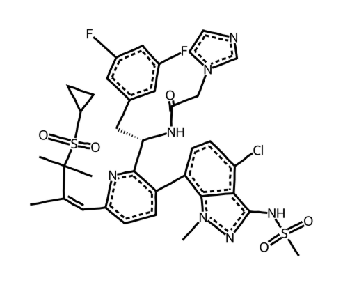 CC(=Cc1ccc(-c2ccc(Cl)c3c(NS(C)(=O)=O)nn(C)c23)c([C@H](Cc2cc(F)cc(F)c2)NC(=O)Cn2ccnc2)n1)C(C)(C)S(=O)(=O)C1CC1